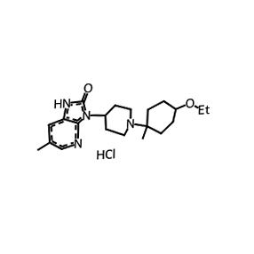 CCOC1CCC(C)(N2CCC(n3c(=O)[nH]c4cc(C)cnc43)CC2)CC1.Cl